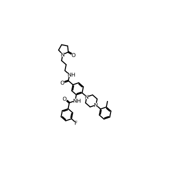 Cc1ccccc1N1CCN(c2ccc(C(=O)NCCCN3CCCC3=O)cc2NC(=O)c2cccc(F)c2)CC1